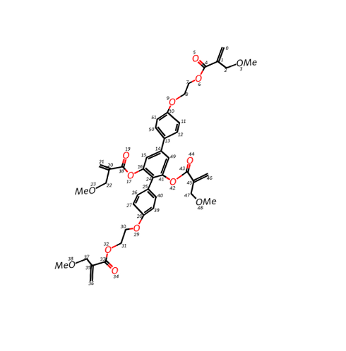 C=C(COC)C(=O)OCCOc1ccc(-c2cc(OC(=O)C(=C)COC)c(-c3ccc(OCCOC(=O)C(=C)COC)cc3)c(OC(=O)C(=C)COC)c2)cc1